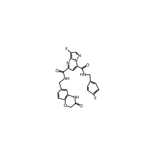 O=C1COc2ccc(CNC(=O)c3cc(C(=O)NCc4ccc(F)cc4)n4ncc(F)c4n3)cc2N1